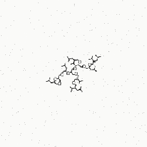 CC(C)CC(COCC(COCC(COC[C@@H](COCC(CC(C)C)C(C)C)C(C)C)OC(COCC1COCC(CC(C)C)O1)CC(C)C)OC[C@H](CC(C)C)C(C)C)OC[C@H](CC(C)C)C(C)C